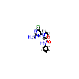 CC[C@@H]1CO[C@H](C(=O)Nc2ccccc2)CN1c1cc(Cl)nc(N)n1